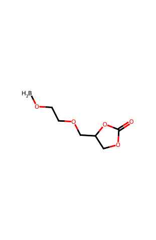 BOCCOCC1COC(=O)O1